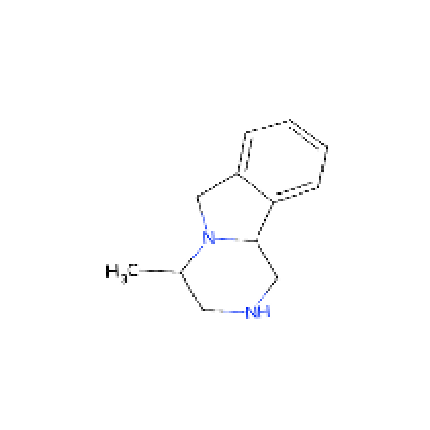 CC1CNCC2c3ccccc3CN12